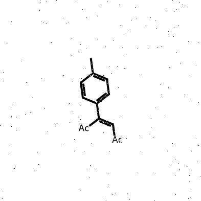 CC(=O)C=C(C(C)=O)c1ccc(C)cc1